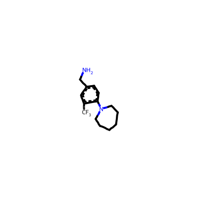 NCc1ccc(N2CCCCCC2)c(C(F)(F)F)c1